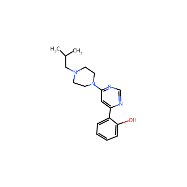 CC(C)CN1CCN(c2cc(-c3ccccc3O)ncn2)CC1